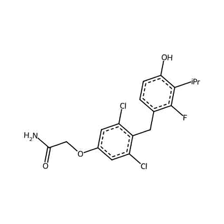 CC(C)c1c(O)ccc(Cc2c(Cl)cc(OCC(N)=O)cc2Cl)c1F